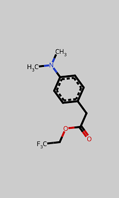 CN(C)c1ccc(CC(=O)OCC(F)(F)F)cc1